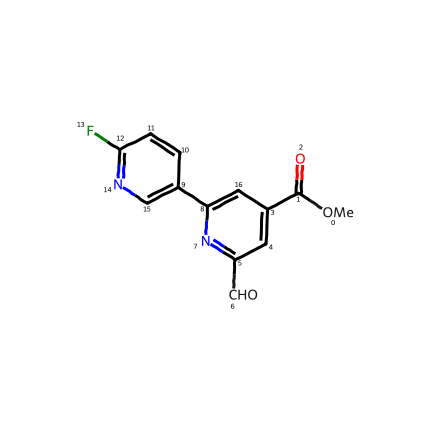 COC(=O)c1cc(C=O)nc(-c2ccc(F)nc2)c1